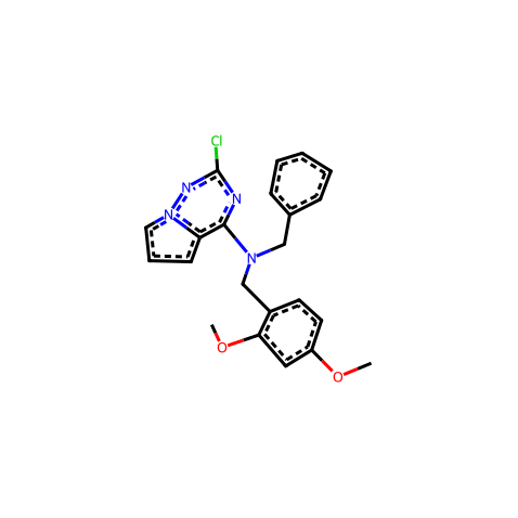 COc1ccc(CN(Cc2ccccc2)c2nc(Cl)nn3cccc23)c(OC)c1